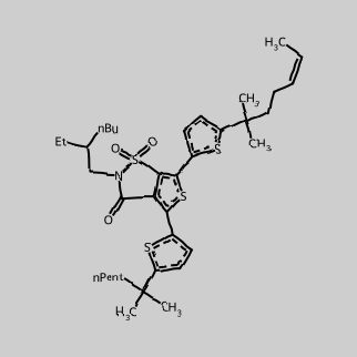 C/C=C\CCC(C)(C)c1ccc(-c2sc(-c3ccc(C(C)(C)CCCCC)s3)c3c2S(=O)(=O)N(CC(CC)CCCC)C3=O)s1